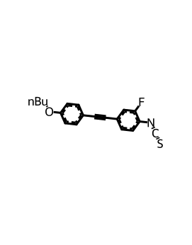 CCCCOc1ccc(C#Cc2ccc(N=C=S)c(F)c2)cc1